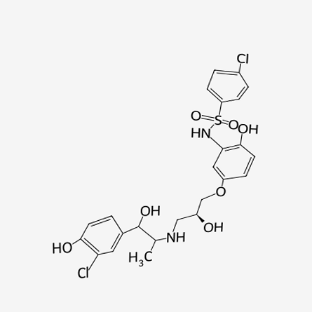 CC(NC[C@H](O)COc1ccc(O)c(NS(=O)(=O)c2ccc(Cl)cc2)c1)C(O)c1ccc(O)c(Cl)c1